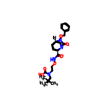 CC(C)(C)CN(CCONC(=O)[C@@H]1CC[C@@H]2CN1C(=O)N2OCc1ccccc1)C(=O)O